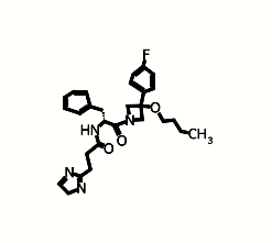 CCCCOC1(c2ccc(F)cc2)CN(C(=O)[C@@H](Cc2ccccc2)NC(=O)CCC2=NCC=N2)C1